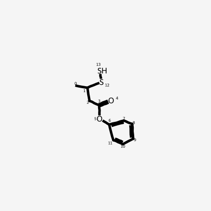 CC(CC(=O)Oc1ccccc1)SS